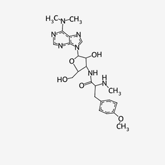 CNC(Cc1ccc(OC)cc1)C(=O)NC1C(CO)OC(n2cnc3c(N(C)C)ncnc32)C1O